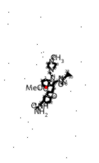 COc1ccc2c(c1)c(C=C1Oc3ccc(CNC(N)=O)cc3C1=O)c(-c1nc(C3CC3)no1)n2CCN1CCN(C)CC1